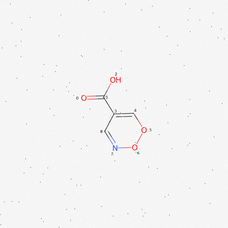 O=C(O)C1=COON=C1